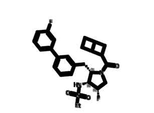 CCS(=O)(=O)N[C@H]1[C@@H](F)CN(C(=O)C2CC3CCC32)[C@H]1Cc1cccc(-c2cccc(F)c2)c1